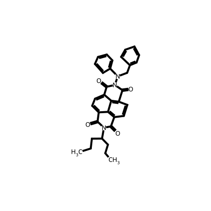 CCCC(CCC)N1C(=O)c2ccc3c4c(ccc(c24)C1=O)C(=O)N(N(Cc1ccccc1)c1ccccc1)C3=O